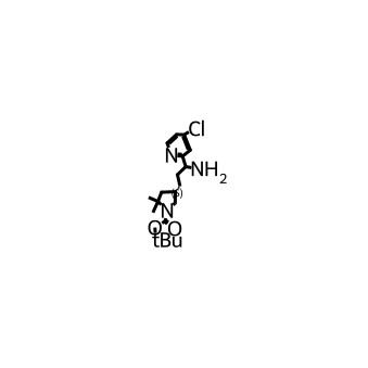 CC(C)(C)OC(=O)N1C[C@@H](CCC(N)c2cc(Cl)ccn2)CC1(C)C